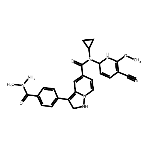 COC1=C(C#N)C=CC(N(C(=O)C2=CC3=C(c4ccc(C(=O)N(C)N)cc4)CNN3C=C2)C2CC2)N1